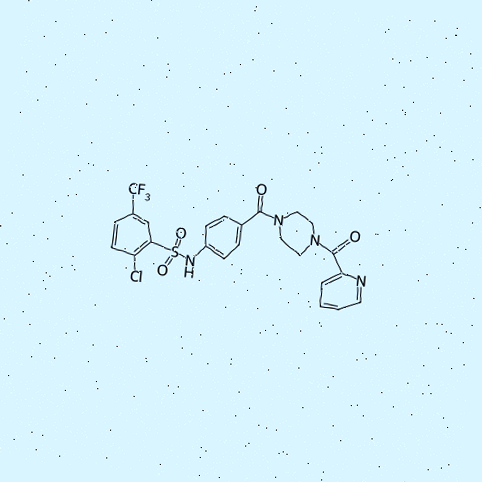 O=C(c1ccc(NS(=O)(=O)c2cc(C(F)(F)F)ccc2Cl)cc1)N1CCN(C(=O)c2ccccn2)CC1